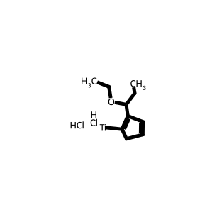 CCOC(CC)C1=[C]([Ti])CC=C1.Cl.Cl